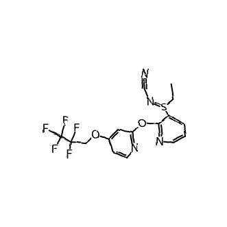 CCS(=NC#N)c1cccnc1Oc1cc(OCC(F)(F)C(F)(F)F)ccn1